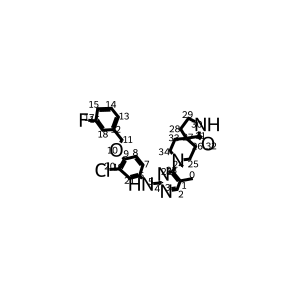 Cc1cnc(Nc2ccc(OCc3cccc(F)c3)c(Cl)c2)nc1N1CCC2(CCNC2=O)CC1